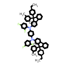 C=CC1=CC=C(C2(c3cc(C)ccc3C)c3ccccc3-c3ccc(N(c4ccc(N(c5ccc6c(c5)C(c5ccc(C=C)cc5)(c5cc(C)ccc5C)c5ccccc5-6)c5ccc(F)cc5F)cc4)c4ccc(F)cc4F)cc32)CC1